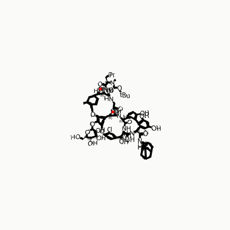 Cc1cc2ccc1Oc1cc3cc(c1OC1O[C@H](CO)[C@@H](O)[C@H](O)[C@H]1O)Oc1ccc(cc1Cl)[C@@H](O)[C@@H]1NC(=O)[C@@H](NC(=O)[C@@H]3NC(=O)CNC(=O)[C@H](NC(=O)[C@@H](CC(C)C)N(C)C(=O)OC(C)(C)C)[C@@H]2O)c2ccc(O)c(c2)-c2c(O)cc(O)cc2[C@@H](C(=O)NC2C3CC4CC(C3)CC2C4)NC1=O